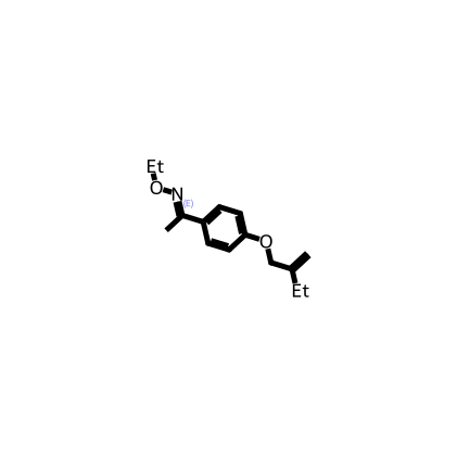 C=C(CC)COc1ccc(/C(C)=N/OCC)cc1